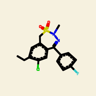 CCc1cc2c(cc1Cl)C(c1ccc(F)cc1)=NN(C)S(=O)(=O)C2